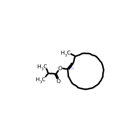 CC1/C=C(\OC(=O)C(C)C)CCCCCCCCCCCC1